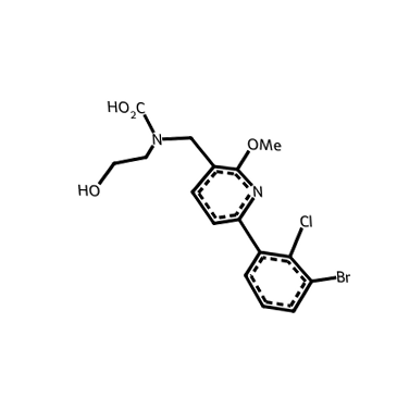 COc1nc(-c2cccc(Br)c2Cl)ccc1CN(CCO)C(=O)O